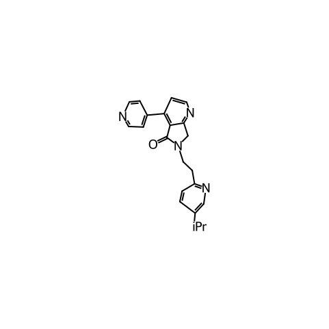 CC(C)c1ccc(CCN2Cc3nccc(-c4ccncc4)c3C2=O)nc1